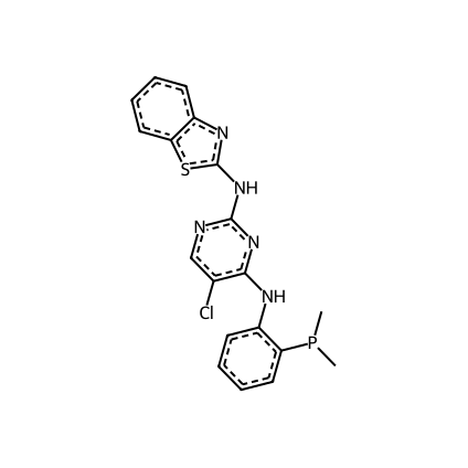 CP(C)c1ccccc1Nc1nc(Nc2nc3ccccc3s2)ncc1Cl